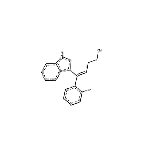 Cc1ccccc1/C(=C/CCC#N)c1c[nH]c2ccccc12